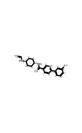 O=CN[C@H]1CC[C@H](NC(=O)c2ccc(-c3cccc(F)c3)nc2)CC1